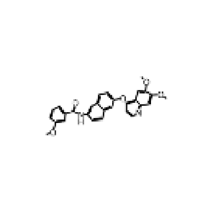 COc1cccc(C(=O)Nc2ccc3cc(Oc4ccnc5cc(OC)c(OC)cc45)ccc3c2)c1